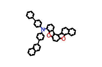 c1ccc(-c2ccc(N(c3ccc(-c4ccc5ccccc5c4)cc3)c3cccc4c3oc3ccc5oc6c7ccccc7ccc6c5c34)cc2)cc1